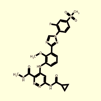 CNC(=O)c1nnc(NC(=O)C2CC2)cc1Nc1cccc(-c2ncn(-c3ccc(S(C)(=O)=O)cc3F)n2)c1OC